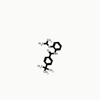 CC(C)Oc1ccccc1NC(=O)c1ccc(C(C)(C)C)cc1